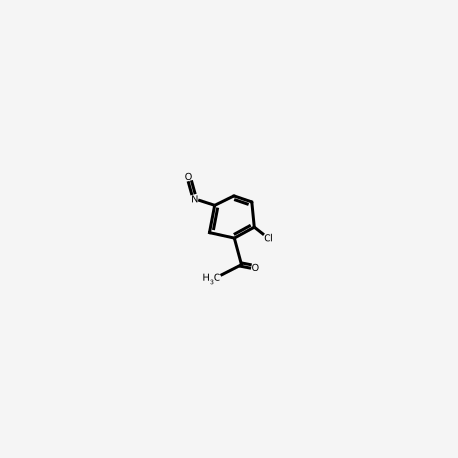 CC(=O)c1cc(N=O)ccc1Cl